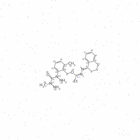 CC/C(=N/N=C1CCSc2ccccc21)OCc1c(C)cccc1N(N)C(=O)N(C)N